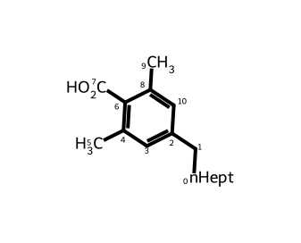 CCCCCCCCc1cc(C)c(C(=O)O)c(C)c1